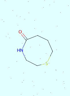 O=C1CCCSCCN1